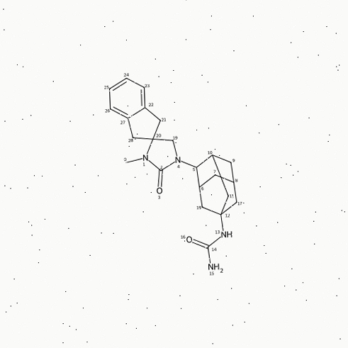 CN1C(=O)N(C2C3CC4CC2CC(NC(N)=O)(C4)C3)CC12Cc1ccccc1C2